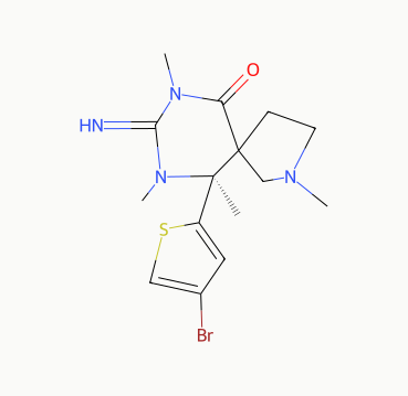 CN1CCC2(C1)C(=O)N(C)C(=N)N(C)[C@]2(C)c1cc(Br)cs1